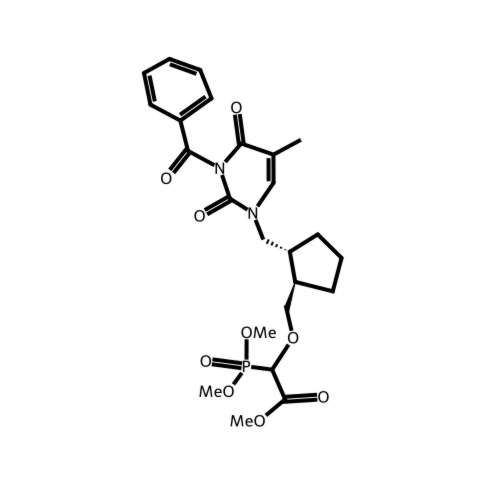 COC(=O)C(OC[C@@H]1CCC[C@H]1Cn1cc(C)c(=O)n(C(=O)c2ccccc2)c1=O)P(=O)(OC)OC